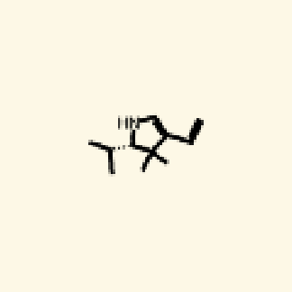 C=CC1=CN[C@@H](C(C)C)C1(C)C